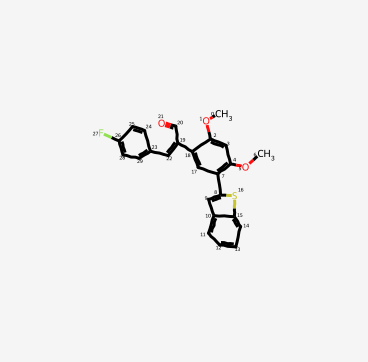 COc1cc(OC)c(-c2cc3ccccc3s2)cc1C(C=O)=Cc1ccc(F)cc1